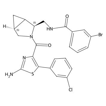 Nc1nc(C(=O)N2C[C@H]3CC3[C@H]2CNC(=O)c2cccc(Br)c2)c(-c2cccc(Cl)c2)s1